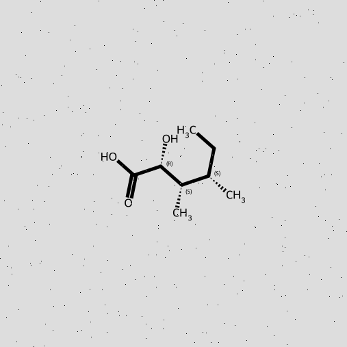 CC[C@H](C)[C@H](C)[C@@H](O)C(=O)O